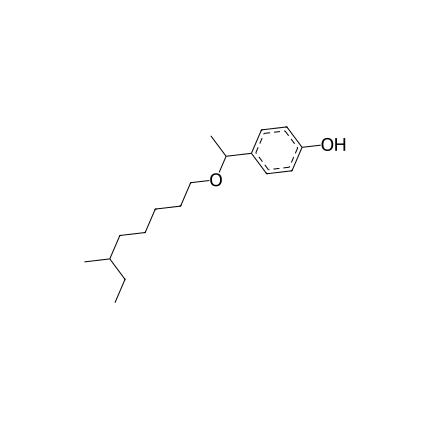 CCC(C)CCCCCOC(C)c1ccc(O)cc1